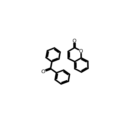 O=C(c1ccccc1)c1ccccc1.O=c1ccc2ccccc2o1